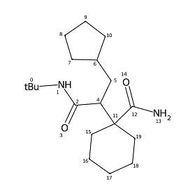 CC(C)(C)NC(=O)C(CC1CCCC1)C1(C(N)=O)CCCCC1